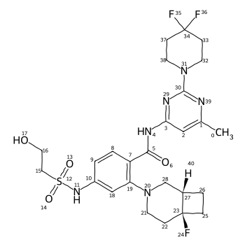 Cc1cc(NC(=O)c2ccc(NS(=O)(=O)CCO)cc2N2CC[C@@]3(F)CC[C@H]3C2)nc(N2CCC(F)(F)CC2)n1